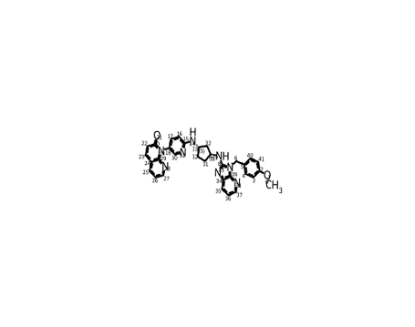 COc1ccc(Cn2c(N[C@H]3CC[C@H](Nc4ccc(-n5c(=O)ccc6cccnc65)cn4)C3)nc3cccnc32)cc1